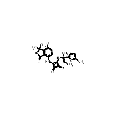 B[C@](CC)(Nc1c(Nc2ccc(Cl)c3c2C(=O)NC3(C)C)c(=O)c1=O)c1ccc(C)o1